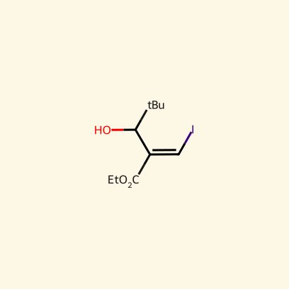 CCOC(=O)C(=CI)C(O)C(C)(C)C